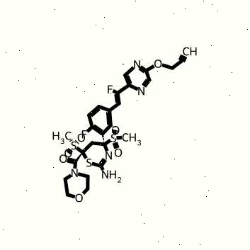 C#CCOc1cnc(/C(F)=C/c2ccc(F)c([C@@]3(S(C)(=O)=O)C[C@@](C(=O)N4CCOCC4)(S(C)(=O)=O)SC(N)=N3)c2)cn1